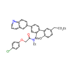 CCOC(=O)Cc1ccc(OC)c(-c2ccc(-c3ccc4ncccc4c3)cc2CN(CC)C(=O)COc2ccc(Cl)cc2)c1